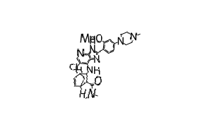 COc1cc(N2CCN(C)CC2)ccc1-c1nc2c(N[C@H]3[C@@H](C(=O)N(C)C)[C@@H]4C=C[C@H]3C4)c(Cl)cnc2[nH]1